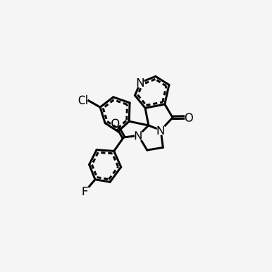 O=C(c1ccc(F)cc1)N1CCN2C(=O)c3ccncc3C12c1ccc(Cl)cc1